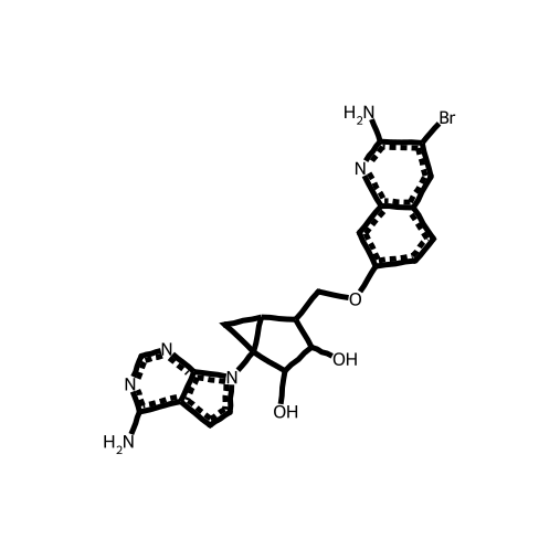 Nc1nc2cc(OCC3C(O)C(O)C4(n5ccc6c(N)ncnc65)CC34)ccc2cc1Br